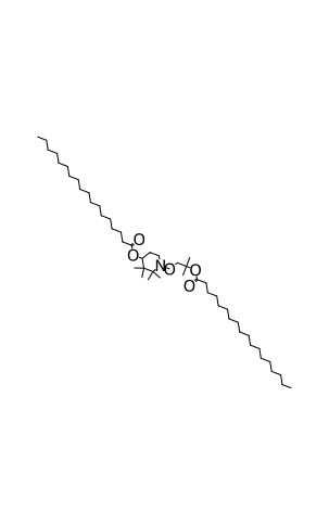 CCCCCCCCCCCCCCCCCC(=O)OC1CCN(OCC(C)(C)OC(=O)CCCCCCCCCCCCCCCCC)C(C)(C)C1(C)C